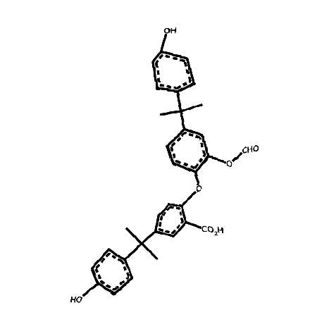 CC(C)(c1ccc(O)cc1)c1ccc(Oc2ccc(C(C)(C)c3ccc(O)cc3)cc2C(=O)O)c(OC=O)c1